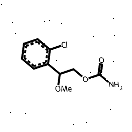 COC(COC(N)=O)c1ccccc1Cl